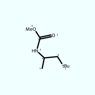 COC(=O)NC(C)CC(C)(C)C